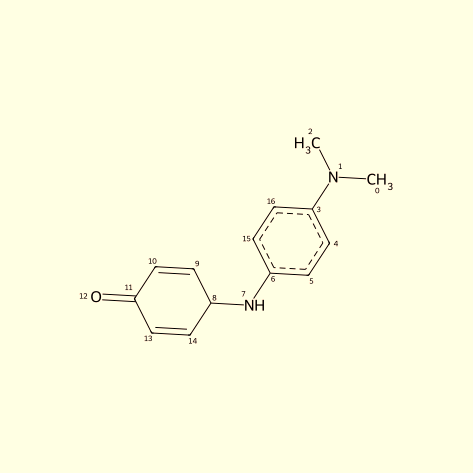 CN(C)c1ccc(NC2C=CC(=O)C=C2)cc1